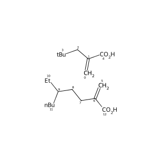 C=C(CC(C)(C)C)C(=O)O.C=C(CCC(CC)CCCC)C(=O)O